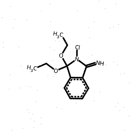 CCOC1(OCC)c2ccccc2C(=N)N1Cl